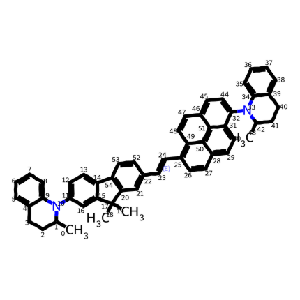 CC1CCc2ccccc2N1c1ccc2c(c1)C(C)(C)c1cc(/C=C/c3ccc4ccc5c(N6c7ccccc7CCC6C)ccc6ccc3c4c65)ccc1-2